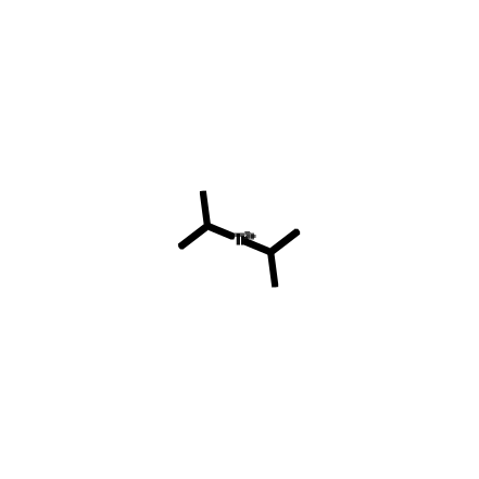 C[CH](C)[Ti+2][CH](C)C